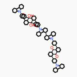 O=C1c2cccc(-c3ccc(-n4c5ccccc5c5c(-c6cccc7c6c6ccccc6n7-c6ccc(-c7cccc8c7C(O)(c7ccccc7)c7cccc(-c9ccc(-n%10c%11ccccc%11c%11ccccc%11%10)cc9)c7C8(O)c7ccccc7)cc6)cccc54)cc3)c2C(=O)c2cccc(-c3ccc(-n4c5ccccc5c5ccccc54)cc3)c21